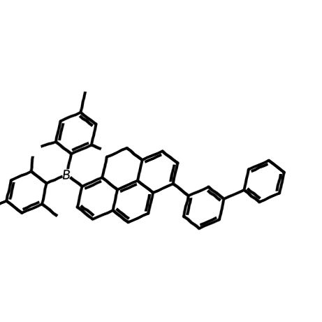 CC1=CC(C)C(B(c2ccc3ccc4c(-c5cccc(-c6ccccc6)c5)ccc5c4c3c2CC5)c2c(C)cc(C)cc2C)C(C)=C1